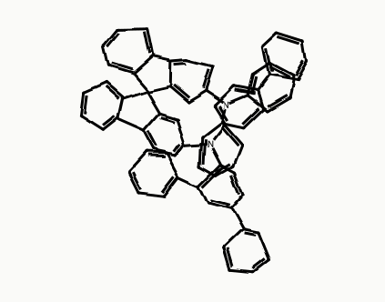 c1ccc(-c2ccc(N(c3ccc4c(c3)C3(c5ccccc5-c5ccc(N(c6ccccc6)c6ccccc6)cc53)c3ccccc3-4)c3ccc(-c4ccccc4)cc3-c3ccccc3)cc2)cc1